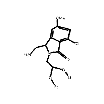 CCOC(CN1C(=O)c2c(Cl)cc(OC)cc2C1CN)OCC